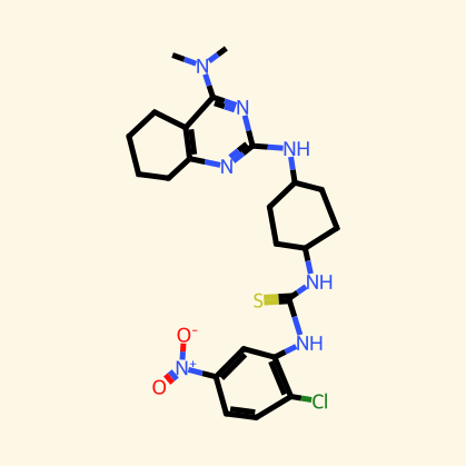 CN(C)c1nc(NC2CCC(NC(=S)Nc3cc([N+](=O)[O-])ccc3Cl)CC2)nc2c1CCCC2